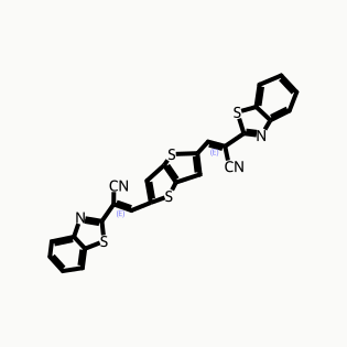 N#C/C(=C\c1cc2sc(/C=C(\C#N)c3nc4ccccc4s3)cc2s1)c1nc2ccccc2s1